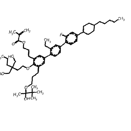 C=C(C)C(=O)OCCCc1cc(-c2ccc(-c3ccc(C4CCC(CCCCC)CC4)cc3F)cc2CC)cc(CCCOC(C)(O)C(C)(C)C)c1OCCC(CO)(CO)CCC